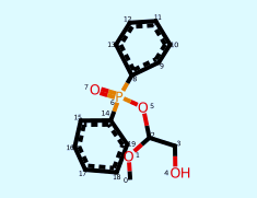 COC(CO)OP(=O)(c1ccccc1)c1ccccc1